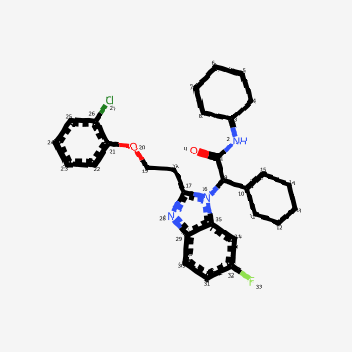 O=C(NC1CCCCC1)C(C1CCCCC1)n1c(CCOc2ccccc2Cl)nc2ccc(F)cc21